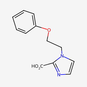 O=C(O)c1nccn1CCOc1ccccc1